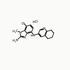 Cl.Cn1c(N)nc2c(Nc3cnc4c(c3)CCCC4)ccc(Cl)c21